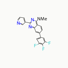 CNc1nc(-c2cccnc2)nc2cc(-c3cc(F)c(F)c(F)c3)ccc12